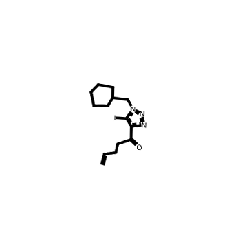 C=CCCC(=O)c1nnn(CC2CCCCC2)c1I